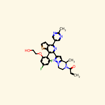 C=CC(=O)N1CCn2nc(-c3nc(-c4cnc(C)nc4)c4ccsc4c3-c3c(F)cc(F)cc3OCCO)cc2C1C